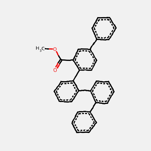 COC(=O)c1cc(-c2ccccc2)ccc1-c1ccccc1-c1ccccc1-c1ccccc1